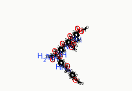 C=CCOC(=O)c1ccc(NC(=O)c2ccc(NC(=O)c3ccc(NC(=O)[C@H](CC(N)=O)NC(=O)c4ccc(NC(=O)/C(C)=C/c5ccc(OCC=C)cc5)cc4)cc3)c(OC(C)C)c2OCC=C)cc1